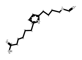 O=COCCCCc1ccc(CCCCCC(=O)O)o1